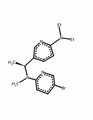 CCN(CC)c1ccc([C@H](C)N(C)c2ccc(Br)cn2)cn1